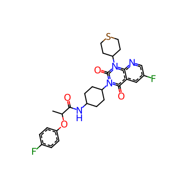 CC(Oc1ccc(F)cc1)C(=O)NC1CCC(n2c(=O)c3cc(F)cnc3n(C3CCSCC3)c2=O)CC1